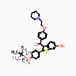 CC(C)(C)[Si](C)(C)Oc1ccc(-c2sc3cc(O)ccc3c2C(=O)c2ccc(OCCN3CCCCC3)cc2)cc1